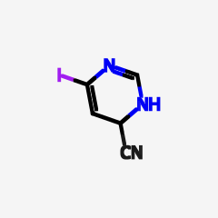 N#CC1C=C(I)N=CN1